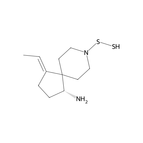 C/C=C1\CC[C@@H](N)C12CCN(SS)CC2